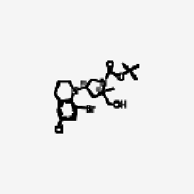 CC(C)(C)OC(=O)N1C[C@H](N2CCCc3cc(Cl)cc(Br)c32)C[C@@]1(C)CO